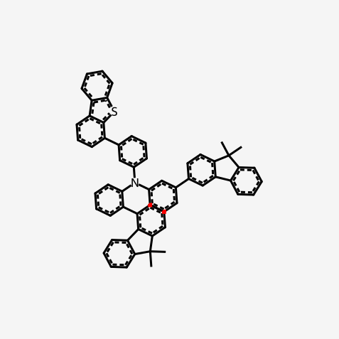 CC1(C)c2ccccc2-c2cc(-c3cccc(N(c4cccc(-c5cccc6c5sc5ccccc56)c4)c4ccccc4-c4cccc5c4-c4ccccc4C5(C)C)c3)ccc21